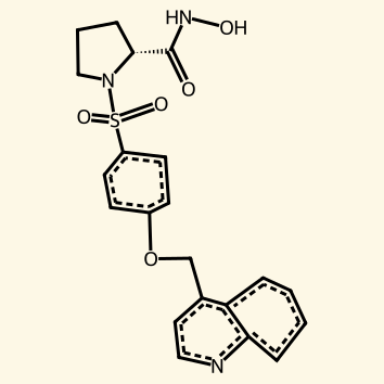 O=C(NO)[C@H]1CCCN1S(=O)(=O)c1ccc(OCc2ccnc3ccccc23)cc1